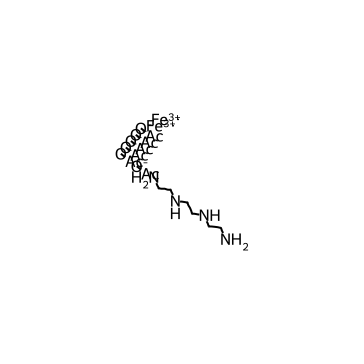 CC(=O)[O-].CC(=O)[O-].CC(=O)[O-].CC(=O)[O-].CC(=O)[O-].CC(=O)[O-].NCCNCCNCCN.[Fe+3].[Fe+3]